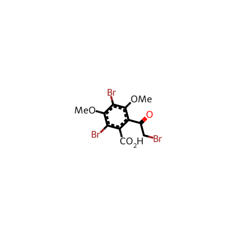 COc1c(Br)c(OC)c(C(=O)CBr)c(C(=O)O)c1Br